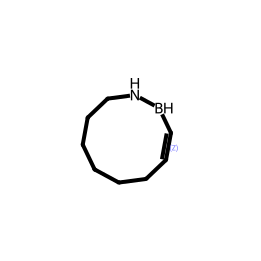 B1/C=C\CCCCCCN1